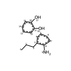 CCCc1ccccc1N.Oc1ccccc1O